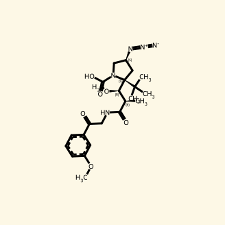 COc1cccc(C(=O)CNC(=O)[C@H](C)[C@@H](OC)[C@@]2(C(C)(C)C)C[C@H](N=[N+]=[N-])CN2C(=O)O)c1